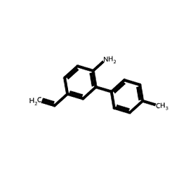 C=Cc1ccc(N)c(-c2ccc(C)cc2)c1